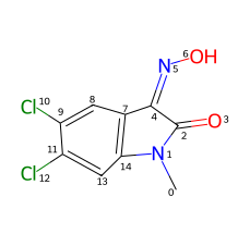 CN1C(=O)C(=NO)c2cc(Cl)c(Cl)cc21